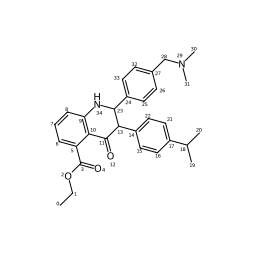 CCOC(=O)c1cccc2c1C(=O)C(c1ccc(C(C)C)cc1)C(c1ccc(CN(C)C)cc1)N2